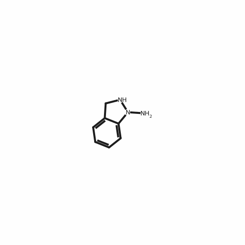 NN1NCc2ccccc21